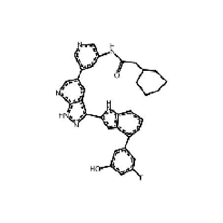 O=C(CC1CCCCC1)Nc1cncc(-c2cnc3[nH]nc(-c4cc5c(-c6cc(O)cc(F)c6)cccc5[nH]4)c3c2)c1